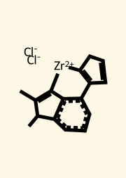 CC1=C(C)C(C)c2cccc(C3=[C]([Zr+2])CC=C3)c21.[Cl-].[Cl-]